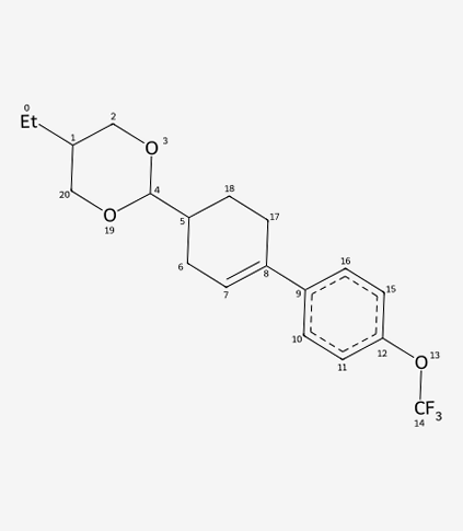 CCC1COC(C2CC=C(c3ccc(OC(F)(F)F)cc3)CC2)OC1